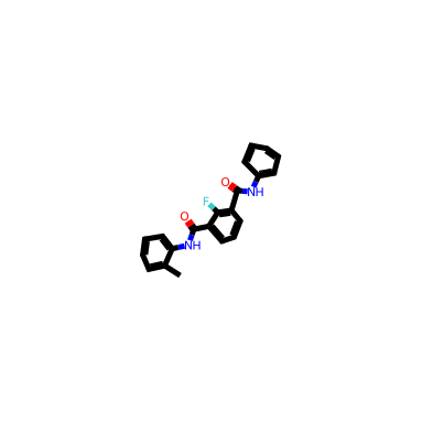 Cc1ccccc1NC(=O)c1cccc(C(=O)Nc2ccccc2)c1F